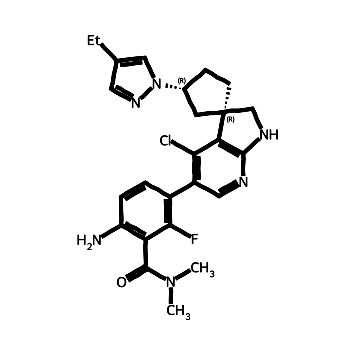 CCc1cnn([C@@H]2CC[C@@]3(CNc4ncc(-c5ccc(N)c(C(=O)N(C)C)c5F)c(Cl)c43)C2)c1